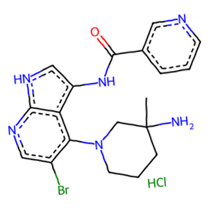 CC1(N)CCCN(c2c(Br)cnc3[nH]cc(NC(=O)c4cccnc4)c23)C1.Cl